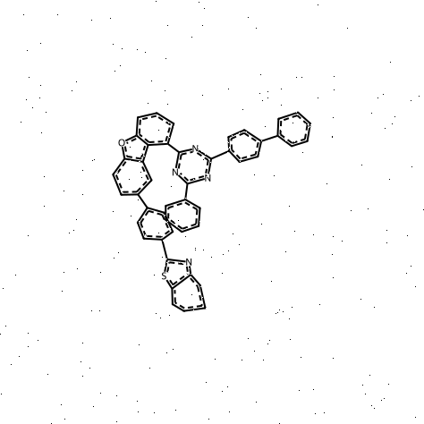 c1ccc(-c2ccc(-c3nc(-c4ccccc4)nc(-c4cccc5oc6ccc(-c7ccc(-c8nc9ccccc9s8)cc7)cc6c45)n3)cc2)cc1